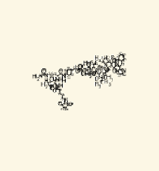 CC[C@H](C)[C@@H]([C@@H](CC(=O)N1CCC[C@H]1[C@H](OC)[C@@H](C)C(=O)N[C@@H](Cc1ccccc1)c1nccs1)OC)N(C)C(=O)[C@@H](NC(=O)C(C)(C)N(C)C(=O)OCc1ccc(NC(=O)[C@H](CCCNC(N)=O)NC(=O)[C@@H](NC(=O)CCCCCN2C(=O)C=CC2=O)C(C)C)cc1)C(C)C